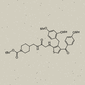 COc1ccc(C(=O)c2csc(NCC(=O)NCC3CCN(C(=O)OC(C)(C)C)CC3)c2Cc2ccc(OC)cc2OC)cc1